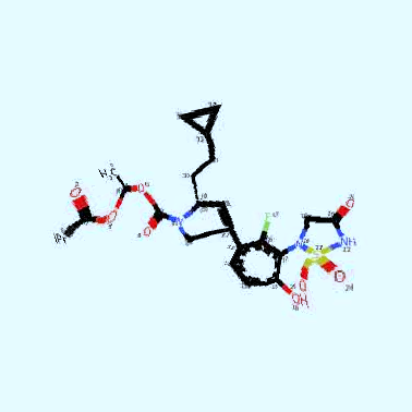 CC(C)C(=O)O[C@@H](C)OC(=O)N1CC(c2ccc(O)c(N3CC(=O)NS3(=O)=O)c2F)=C[C@@H]1CCC1CC1